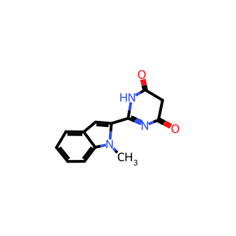 Cn1c(C2=NC(=O)CC(=O)N2)cc2ccccc21